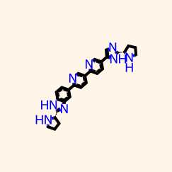 c1cc(-c2ccc3[nH]c([C@@H]4CCCN4)nc3c2)ncc1-c1ccc(-c2cnc([C@@H]3CCCN3)[nH]2)cn1